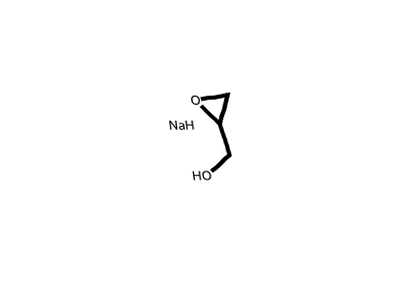 OCC1CO1.[NaH]